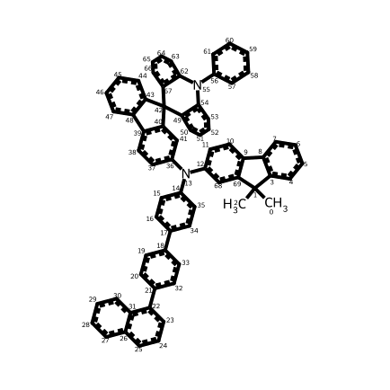 CC1(C)c2ccccc2-c2ccc(N(c3ccc(-c4ccc(-c5cccc6ccccc56)cc4)cc3)c3ccc4c(c3)C3(c5ccccc5-4)c4ccccc4N(c4ccccc4)c4ccccc43)cc21